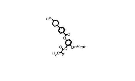 C=C(F)C(=O)Oc1cc(OC(=O)c2ccc(C3CCC(CCC)CC3)cc2)ccc1OCCCCCCC